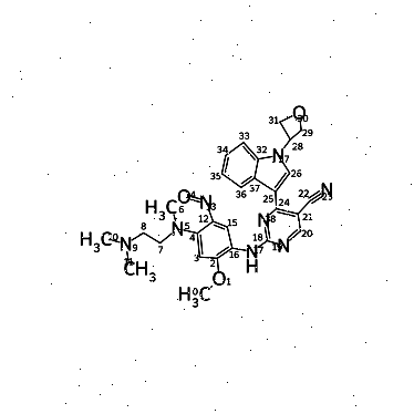 COc1cc(N(C)CCN(C)C)c(N=O)cc1Nc1ncc(C#N)c(-c2cn(C3COC3)c3ccccc23)n1